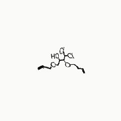 C#CCOCC(O)C(OCCC=C)C(Cl)Cl